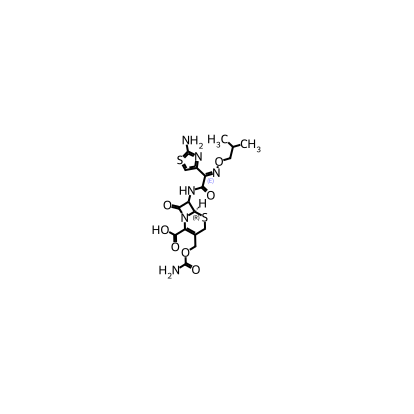 CC(C)CO/N=C(/C(=O)NC1C(=O)N2C(C(=O)O)=C(COC(N)=O)CS[C@H]12)c1csc(N)n1